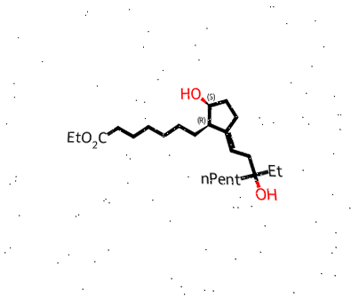 CCCCCC(O)(CC)CC=C1CC[C@H](O)[C@@H]1CCCCCCC(=O)OCC